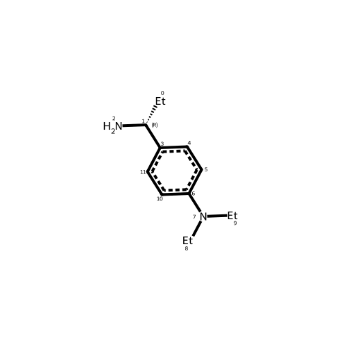 CC[C@@H](N)c1ccc(N(CC)CC)cc1